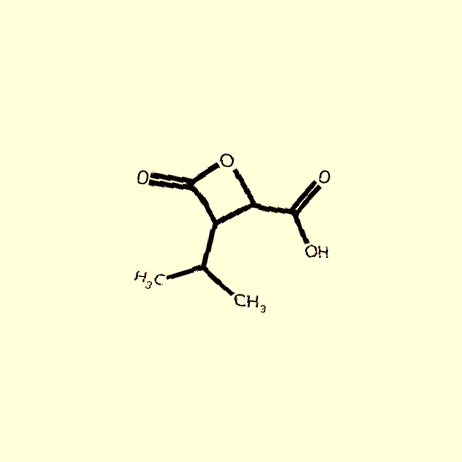 CC(C)C1C(=O)OC1C(=O)O